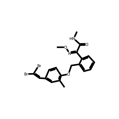 CNC(=O)C(=NOC)c1ccccc1COc1ccc(C=C(Br)Br)cc1C